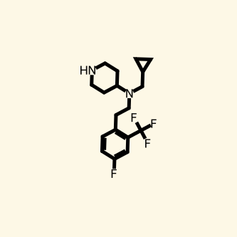 Fc1ccc(CCN(CC2CC2)C2CCNCC2)c(C(F)(F)F)c1